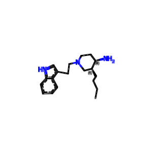 CCCC[C@H]1CN(CCc2c[nH]c3ccccc23)CC[C@H]1N